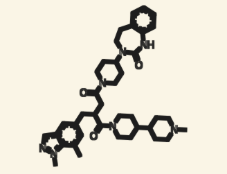 Cc1cc(CC(CC(=O)N2CCC(N3CCc4ccccc4NC3=O)CC2)C(=O)N2CCC(C3CCN(C)CC3)CC2)cc2cnn(C)c12